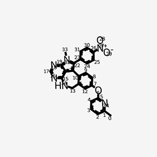 Cc1cccc(Oc2ccc3c(c2)CNc2ncnc4c2c-3c(-c2ccc([N+](=O)[O-])cc2)n4C)n1